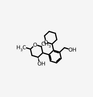 CC1C[C@H](O)C(c2cccc(CO)c2C2CCCCO2)C(C)O1